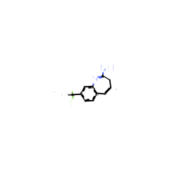 NC1=Nc2cc(C(F)(F)C(F)(F)F)ccc2C=CC1